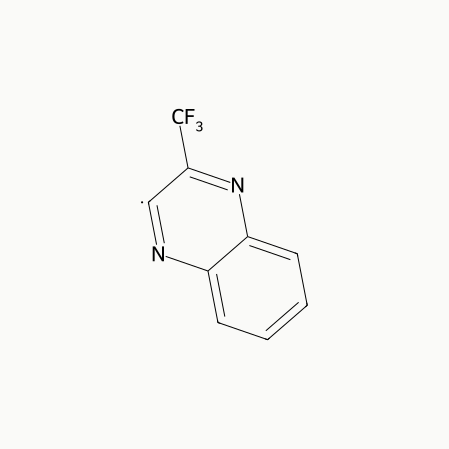 FC(F)(F)c1[c]nc2ccccc2n1